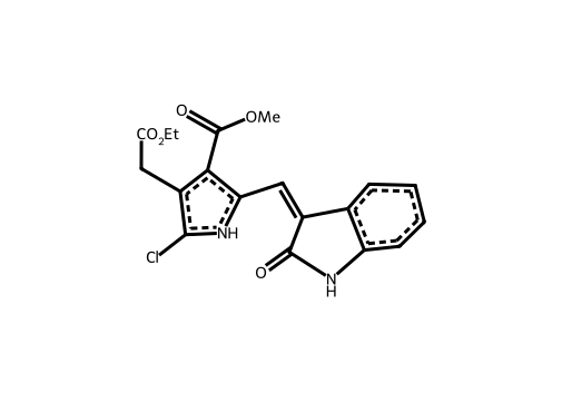 CCOC(=O)Cc1c(Cl)[nH]c(C=C2C(=O)Nc3ccccc32)c1C(=O)OC